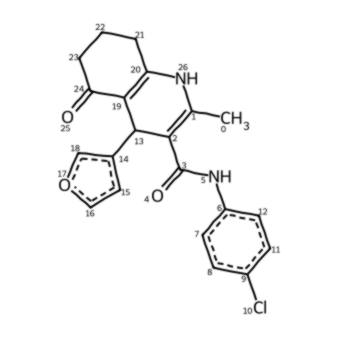 CC1=C(C(=O)Nc2ccc(Cl)cc2)C(c2ccoc2)C2=C(CCCC2=O)N1